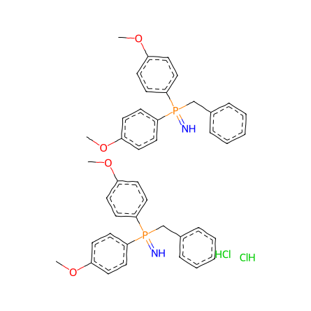 COc1ccc(P(=N)(Cc2ccccc2)c2ccc(OC)cc2)cc1.COc1ccc(P(=N)(Cc2ccccc2)c2ccc(OC)cc2)cc1.Cl.Cl